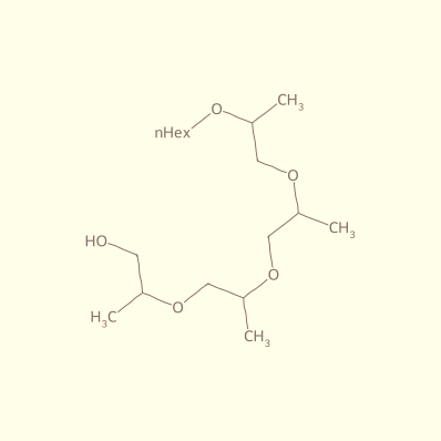 CCCCCCOC(C)COC(C)COC(C)COC(C)CO